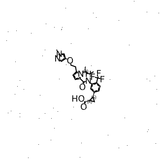 CC[C@H](C)n1c(CCOc2cnn(C)c2)ccc1C(=O)Nc1cc([C@H]2C[C@H]2C(=O)O)ccc1C(F)(F)F